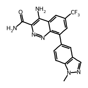 Cn1ncc2cc(-c3cc(C(F)(F)F)cc4c(N)c(C(N)=O)nnc34)ccc21